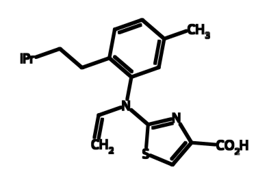 C=CN(c1nc(C(=O)O)cs1)c1cc(C)ccc1CCC(C)C